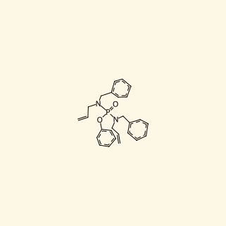 C=CCN(Cc1ccccc1)P(=O)(Oc1ccccc1)N(CC=C)Cc1ccccc1